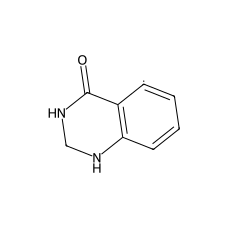 O=C1NCNc2ccc[c]c21